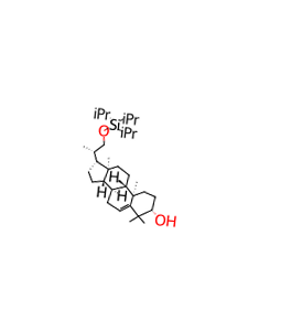 CC(C)[Si](OC[C@@H](C)[C@H]1CC[C@H]2[C@@H]3CC=C4C(C)(C)[C@@H](O)CC[C@]4(C)[C@H]3CC[C@]12C)(C(C)C)C(C)C